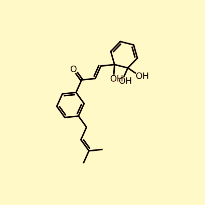 CC(C)=CCc1cccc(C(=O)C=CC2(O)C=CC=CC2(O)O)c1